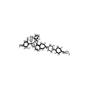 C[C@@H](n1cnc2cc(N3CCN(c4ccc([N+](=O)[O-])cc4)CC3)ccc2c1=O)[C@](O)(Cn1cncn1)c1ccc(F)cc1F